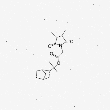 CC1C(=O)N(CC(=O)OC(C)(C)C2CC3CCC2C3)C(=O)C1C